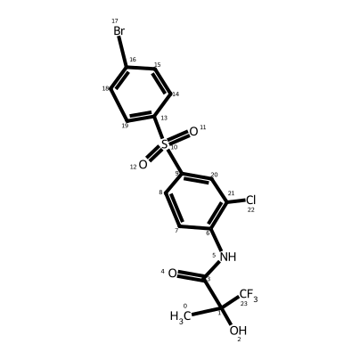 CC(O)(C(=O)Nc1ccc(S(=O)(=O)c2ccc(Br)cc2)cc1Cl)C(F)(F)F